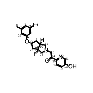 Cc1cc(F)cc(O[C@H]2C[C@@H]3CN(CC(=O)c4ccc(O)cn4)C[C@@H]3C2)c1